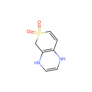 O=S1(=O)C=CC2=C(C1)NC=CN2